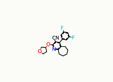 N#Cc1c(OC2CCOC2)nc2c(c1-c1cc(F)cc(F)c1)CCCCC2